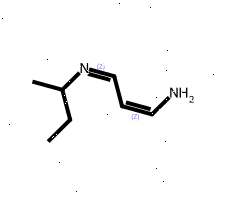 CCC(C)/N=C\C=C/N